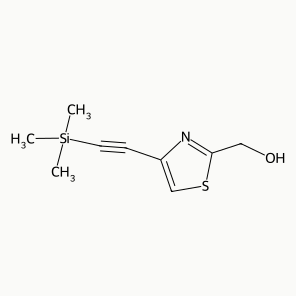 C[Si](C)(C)C#Cc1csc(CO)n1